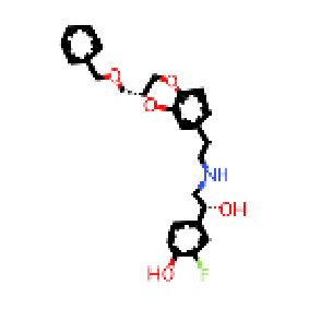 Oc1ccc([C@@H](O)CNCCc2ccc3c(c2)O[C@H](COCc2ccccc2)CO3)cc1F